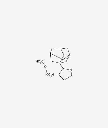 C1COC(C23CC4CC(CC(C4)C2)C3)C1.O=C(O)OC(=O)O